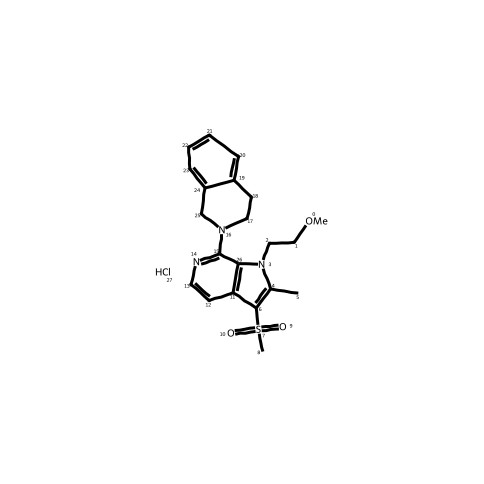 COCCn1c(C)c(S(C)(=O)=O)c2ccnc(N3CCc4ccccc4C3)c21.Cl